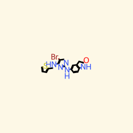 O=C1Cc2cc(Nc3ncc(Br)c(NCc4cccs4)n3)ccc2N1